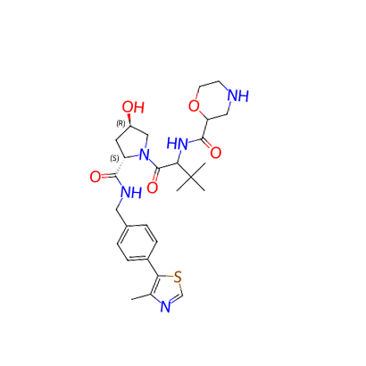 Cc1ncsc1-c1ccc(CNC(=O)[C@@H]2C[C@@H](O)CN2C(=O)C(NC(=O)C2CNCCO2)C(C)(C)C)cc1